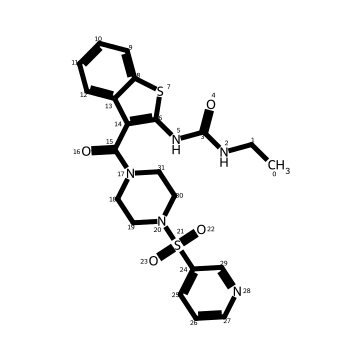 CCNC(=O)Nc1sc2ccccc2c1C(=O)N1CCN(S(=O)(=O)c2cccnc2)CC1